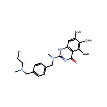 COc1cc2[nH]c(N(C)Cc3ccc(CN(C)CCC(F)(F)F)cc3)nc(=O)c2c(OC)c1OC